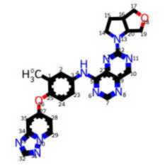 Cc1cc(Nc2ncnc3cnc(N4CCC5COCC54)nc23)ccc1Oc1ccn2ncnc2c1